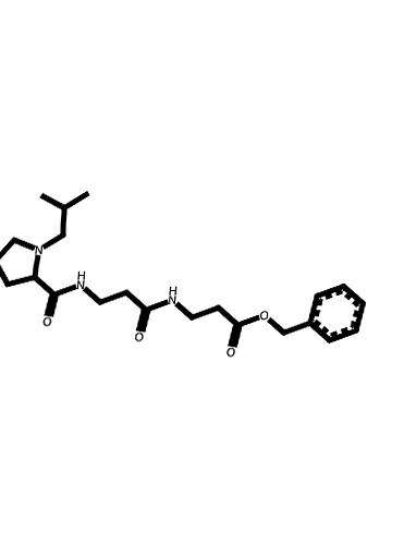 CC(C)CN1CCCC1C(=O)NCCC(=O)NCCC(=O)OCc1ccccc1